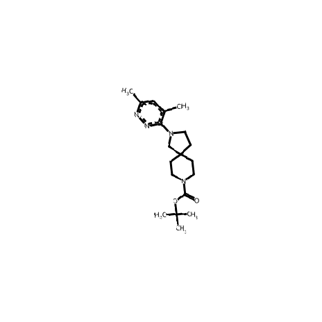 Cc1cc(C)c(N2CCC3(CCN(C(=O)OC(C)(C)C)CC3)C2)nn1